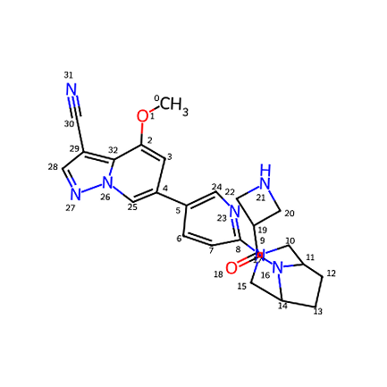 COc1cc(-c2ccc(N3CC4CCC(C3)N4C(=O)C3CNC3)nc2)cn2ncc(C#N)c12